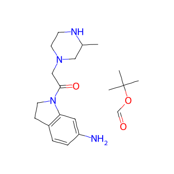 CC(C)(C)OC=O.CC1CN(CC(=O)N2CCc3ccc(N)cc32)CCN1